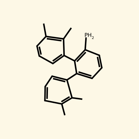 Cc1cccc(-c2cccc(P)c2-c2cccc(C)c2C)c1C